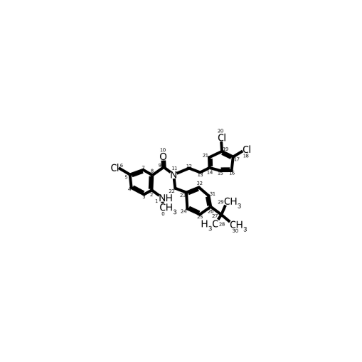 CNc1ccc(Cl)cc1C(=O)N(CCc1ccc(Cl)c(Cl)c1)Cc1ccc(C(C)(C)C)cc1